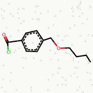 CCCCOCc1ccc(C(=O)Cl)cc1